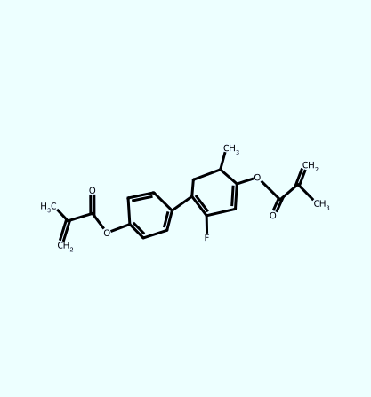 C=C(C)C(=O)OC1=CC(F)=C(c2ccc(OC(=O)C(=C)C)cc2)CC1C